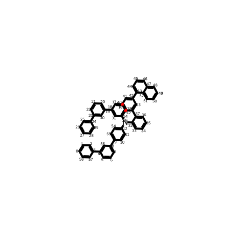 c1ccc(-c2cccc(-c3ccc(N(c4cccc(-c5cccc(-c6ccccc6)c5)c4)c4ccccc4-c4cccc(-c5cccc6ccccc56)c4)cc3)c2)cc1